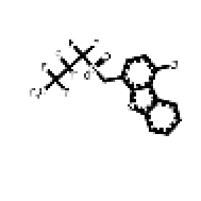 O=S(=O)(Cc1ccc(Cl)c2c1sc1ccccc12)C(F)(F)C(F)(F)C(F)(F)C(F)(F)F